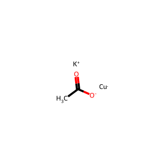 CC(=O)[O-].[Cu].[K+]